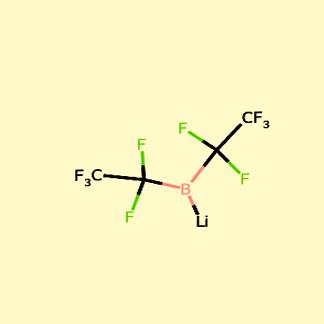 [Li][B](C(F)(F)C(F)(F)F)C(F)(F)C(F)(F)F